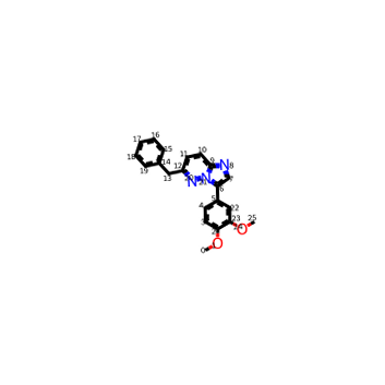 COc1ccc(-c2cnc3ccc(Cc4ccccc4)nn23)cc1OC